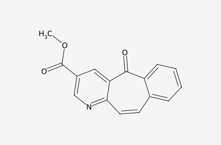 COC(=O)c1cnc2ccc3ccccc3c(=O)c2c1